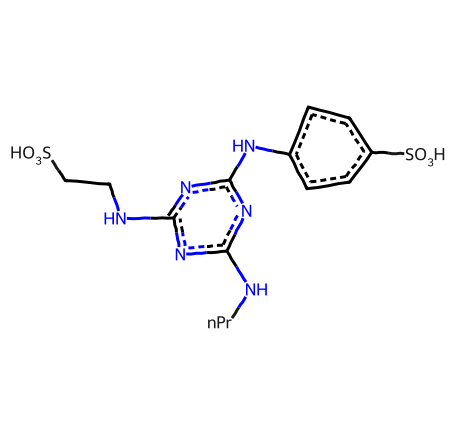 CCCNc1nc(NCCS(=O)(=O)O)nc(Nc2ccc(S(=O)(=O)O)cc2)n1